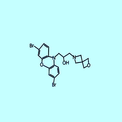 OC(CN1CC2(COC2)C1)CN1c2ccc(Br)cc2Oc2cc(Br)ccc21